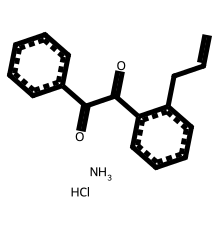 C=CCc1ccccc1C(=O)C(=O)c1ccccc1.Cl.N